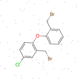 Clc1ccc(Oc2ccccc2CBr)c(CBr)c1